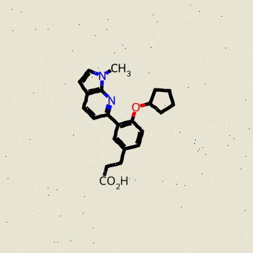 Cn1ccc2ccc(-c3cc(CCC(=O)O)ccc3OC3CCCC3)nc21